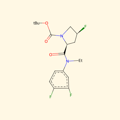 CCN(C(=O)[C@@H]1C[C@H](F)CN1C(=O)OC(C)(C)C)c1ccc(F)c(F)c1